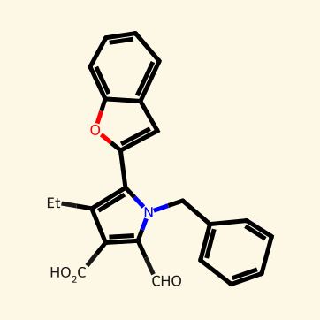 CCc1c(C(=O)O)c(C=O)n(Cc2ccccc2)c1-c1cc2ccccc2o1